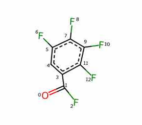 O=C(F)c1cc(F)c(F)c(F)c1F